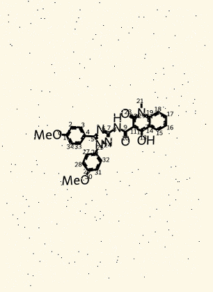 COc1ccc(-c2nc(NC(=O)c3c(O)c4ccccc4n(C)c3=O)nn2-c2ccc(OC)cc2)cc1